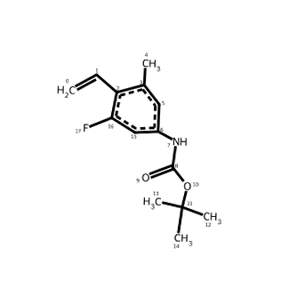 C=Cc1c(C)cc(NC(=O)OC(C)(C)C)cc1F